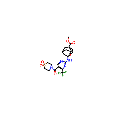 COC(=O)C12CCC3(Nc4ncc(C(=O)N5CCS(=O)(=O)CC5)c(C(F)(F)F)n4)CC(CC(C3)C1)C2